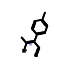 C/C(Br)=C(/C=O)c1ccc(C)cc1